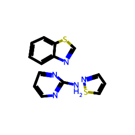 Nc1ncccn1.c1ccc2scnc2c1.c1cnsc1